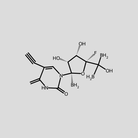 BC(B)(O)[C@@]1(F)O[C@@](B)(N2C=C(C#C)C(=C)NC2=O)[C@H](O)[C@@H]1O